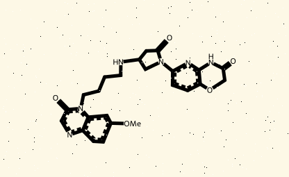 COc1ccc2ncc(=O)n(CCCCNC3CC(=O)N(c4ccc5c(n4)NC(=O)CO5)C3)c2c1